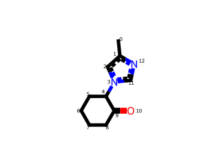 Cc1cn(C2CCCCC2=O)cn1